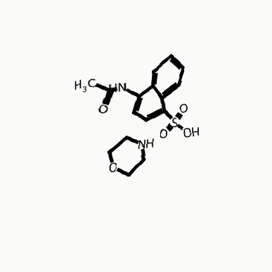 C1COCCN1.CC(=O)Nc1ccc(S(=O)(=O)O)c2ccccc12